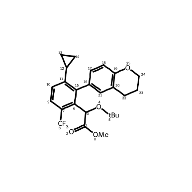 COC(=O)C(OC(C)(C)C)c1c(C(F)(F)F)ccc(C2CC2)c1-c1ccc2c(c1)CCCO2